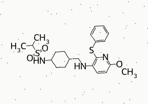 COc1ccc(NCC2CCC(NS(=O)(=O)C(C)C)CC2)c(Sc2ccccc2)n1